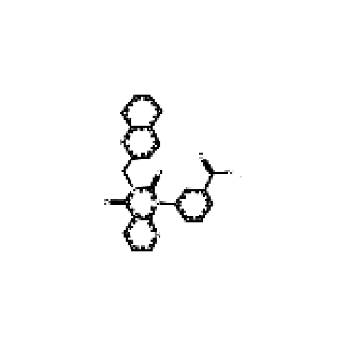 NC(=O)c1cccc(-n2c(=O)n(Cc3ccc4ccccc4n3)c(=O)c3cccnc32)c1